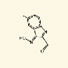 Cc1ccc2c(c1)C(=NO)C(C=O)=N2